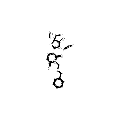 CC[C@@]1(CF)O[C@@H](n2ccc(=O)n(COCc3ccccc3)c2=O)[C@@H](N=[N+]=[N-])[C@@H]1C